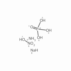 N.O=P(O)(O)O.O=[N+]([O-])O.[NaH]